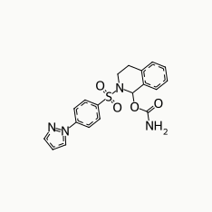 NC(=O)OC1c2ccccc2CCN1S(=O)(=O)c1ccc(-n2cccn2)cc1